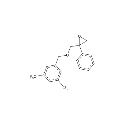 FC(F)(F)c1cc(COCC2(c3ccccc3)CO2)cc(C(F)(F)F)c1